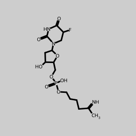 CC(=N)CCCCOP(=O)(O)OCC1OC(N2CC(F)C(=O)NC2=O)CC1O